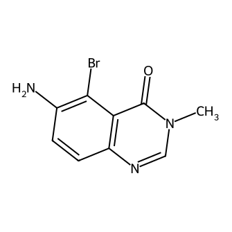 Cn1cnc2ccc(N)c(Br)c2c1=O